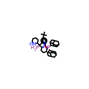 CC(C)(C)[C]12[CH]3[C]4(CP(C5C6CC7CC(C6)CC5C7)C5C6CC7CC(C6)CC5C7)[C]5(C(P)(C6CCCCN6)C6CCCCN6)[CH]1[Fe]34251678[CH]2[CH]1[CH]6[CH]7[CH]28